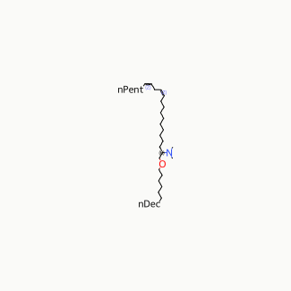 CCCCC/C=C\C/C=C\CCCCCCCCC[C@H](COCCCCCCCCCCCCCCCC)N(C)C